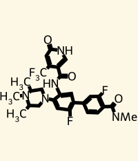 CNC(=O)c1ccc(-c2cc(NC(=O)c3c[nH]c(=O)cc3C(F)(F)F)c(N3CC(C)N(C)C(C)C3)cc2F)cc1F